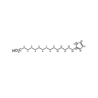 O=C(O)CCCCCCCCCCCCCCc1cccs1